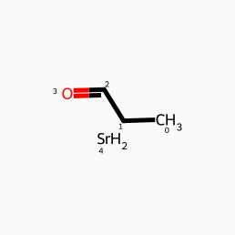 CCC=O.[SrH2]